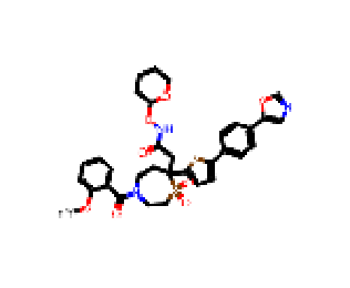 CCCOc1ccccc1C(=O)N1CCC(CC(=O)NOC2CCCCO2)(c2ccc(-c3ccc(-c4cnco4)cc3)s2)S(=O)(=O)CC1